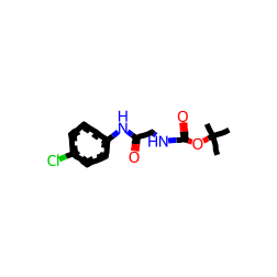 CC(C)(C)OC(=O)NCC(=O)Nc1ccc(Cl)cc1